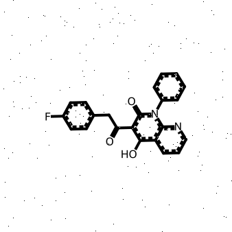 O=C(Cc1ccc(F)cc1)c1c(O)c2cccnc2n(-c2ccccc2)c1=O